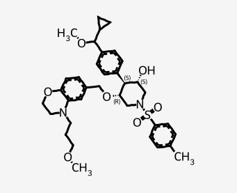 COCCCN1CCOc2ccc(CO[C@H]3CN(S(=O)(=O)c4ccc(C)cc4)C[C@@H](O)[C@@H]3c3ccc(C(OC)C4CC4)cc3)cc21